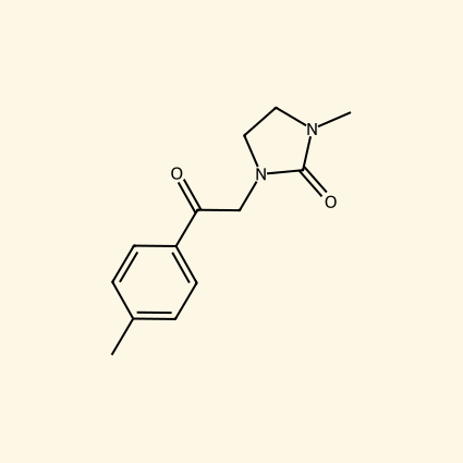 Cc1ccc(C(=O)CN2CCN(C)C2=O)cc1